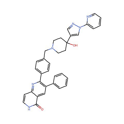 O=c1[nH]ccc2nc(-c3ccc(CN4CCC(O)(c5cnn(-c6ccccn6)c5)CC4)cc3)c(-c3ccccc3)cc12